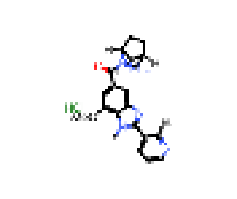 CCc1ncccc1-c1nc2cc(C(=O)N3C[C@H]4CC[C@@H]3[C@@H]4N)cc(OC)c2n1C.Cl